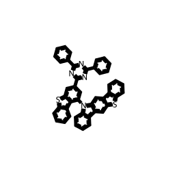 c1ccc(-c2nc(-c3ccccc3)nc(-c3cc(-n4c5ccccc5c5cc6sc7ccccc7c6cc54)c4c(c3)sc3ccccc34)n2)cc1